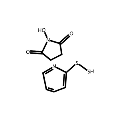 O=C1CCC(=O)N1O.SSc1ccccn1